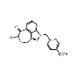 CCN1CCc2cn(Cc3ccc(OC)cc3)c3cccc(c23)C1=O